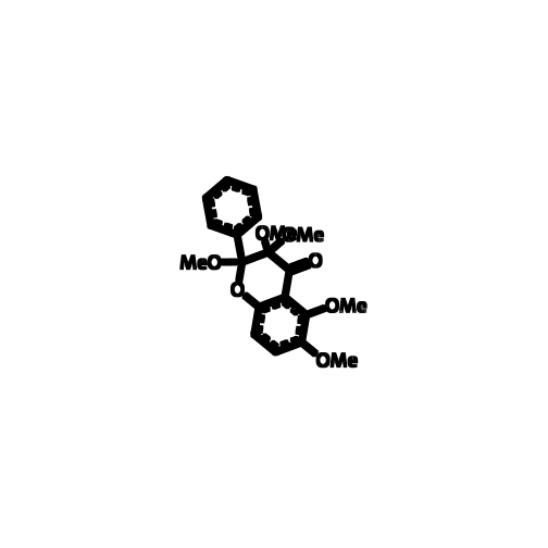 COc1ccc2c(c1OC)C(=O)C(OC)(OC)C(OC)(c1ccccc1)O2